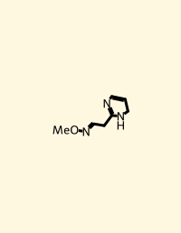 CON=CCC1=NC=CCN1